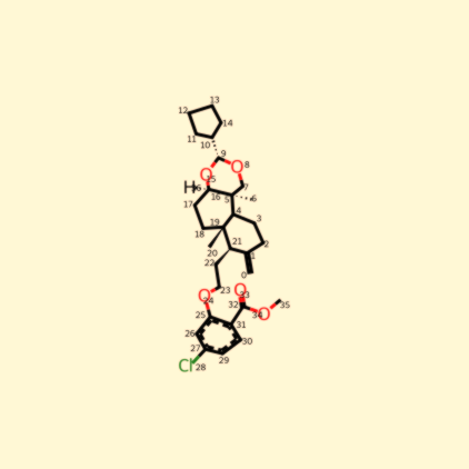 C=C1CCC2[C@]3(C)CO[C@@H](C4CCCC4)O[C@@H]3CC[C@@]2(C)[C@@H]1CCOc1cc(Cl)ccc1C(=O)OC